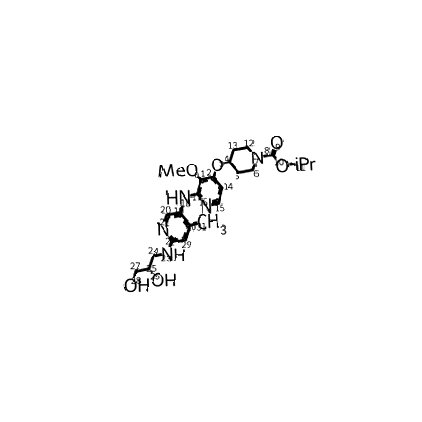 COc1c(OC2CCN(C(=O)OC(C)C)CC2)ccnc1Nc1cnc(NC[C@H](O)CO)cc1C